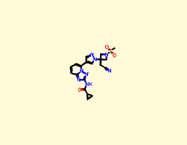 CS(=O)(=O)N1CC(CC#N)(n2cc(-c3cccc4nc(NC(=O)C5CC5)nn34)cn2)C1